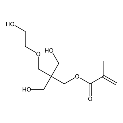 C=C(C)C(=O)OCC(CO)(CO)COCCO